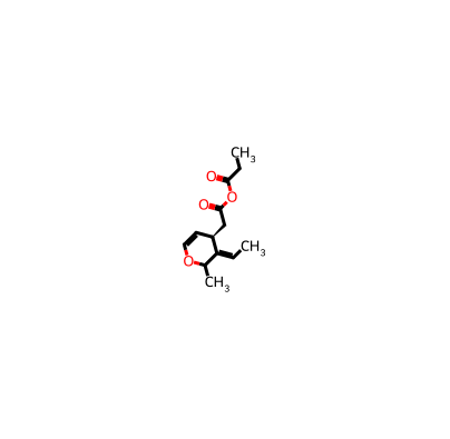 C/C=C1/C(C)OC=C[C@H]1CC(=O)OC(=O)CC